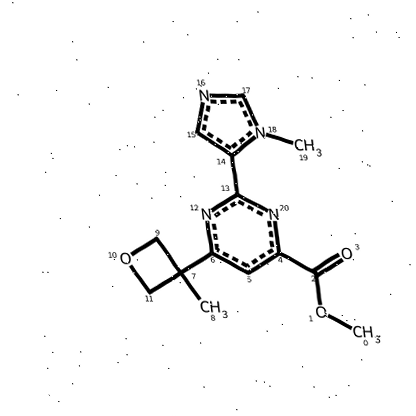 COC(=O)c1cc(C2(C)COC2)nc(-c2cncn2C)n1